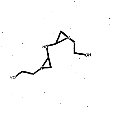 OCCN1CC1NC1CN1CCO